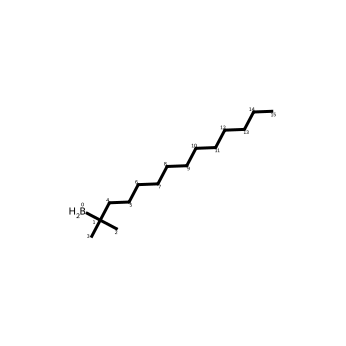 BC(C)(C)CCCCCCCCCCCC